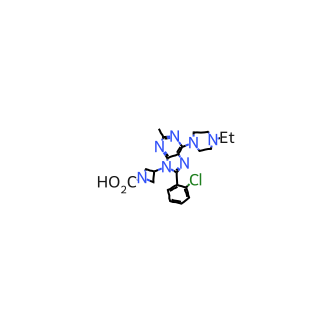 CCN1CCN(c2nc(C)nc3c2nc(-c2ccccc2Cl)n3C2CN(C(=O)O)C2)CC1